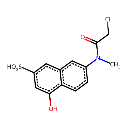 CN(C(=O)CCl)c1ccc2c(O)cc(S(=O)(=O)O)cc2c1